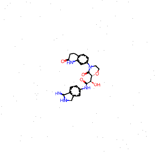 N=C1NCc2cc(NC(=O)[C@H](O)[C@H]3OCCN(c4ccc5c(c4)NC(=O)CC5)C3=O)ccc21